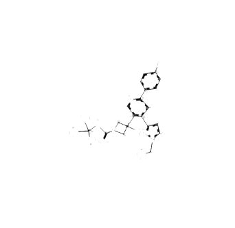 CCn1ccc(-c2cc(-c3ccc(F)cc3)ncc2C2(Cl)CN(C(=O)OC(C)(C)C)C2)n1